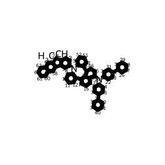 CC1(C)c2ccc(N3c4ccccc4-c4cccc5c(N(c6ccc(-c7ccccc7)cc6)c6ccc(-c7ccccc7)cc6)ccc(c45)-c4ccccc43)cc2-c2cc3ccccc3cc21